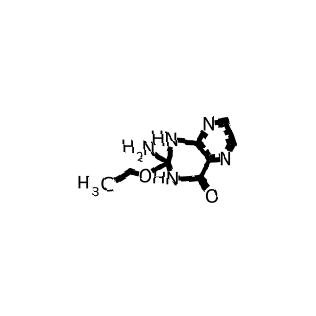 CCOC1(N)NC(=O)c2nccnc2N1